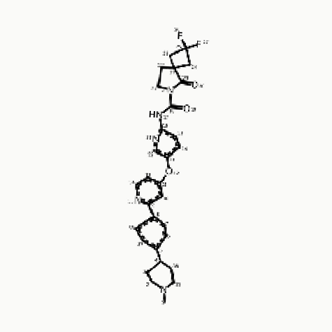 CN1CCC(c2ccc(-c3cc(Oc4ccc(NC(=O)N5CCC6(CC(F)(F)C6)C5=O)nc4)ccn3)cc2)CC1